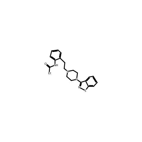 CCC(=O)Nc1ccccc1CCN1CCN(c2nsc3ccccc23)CC1